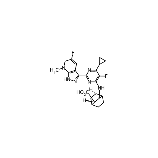 CN1CC(F)=Cc2c(-c3nc(N[C@H]4C5CCC(CC5)[C@@H]4C(=O)O)c(F)c(C4CC4)n3)n[nH]c21